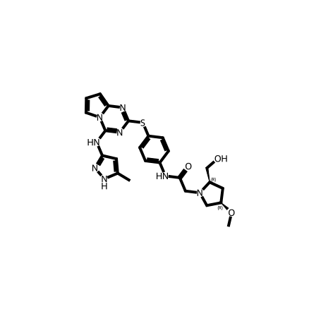 CO[C@@H]1C[C@H](CO)N(CC(=O)Nc2ccc(Sc3nc(Nc4cc(C)[nH]n4)n4cccc4n3)cc2)C1